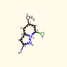 Cc1cc(Cl)n2nc(I)cc2c1